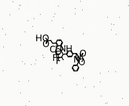 CC(C(C(=O)Nc1cccc(CCC(=O)O)c1Cl)c1ccc(CN2N=C(c3ccccc3)OCC2=O)cc1)C(F)(F)F